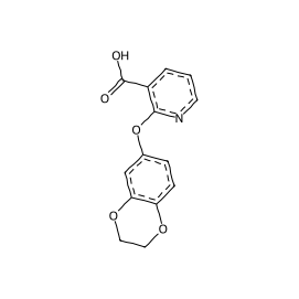 O=C(O)c1cccnc1Oc1ccc2c(c1)OCCO2